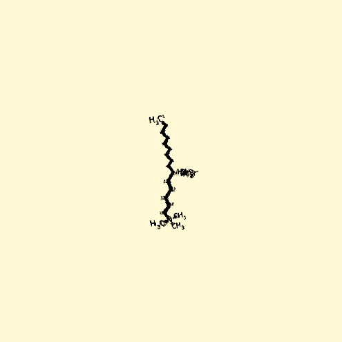 Br.CCCCCCCCCCCCCCC[N+](C)(C)C.N.[Br-]